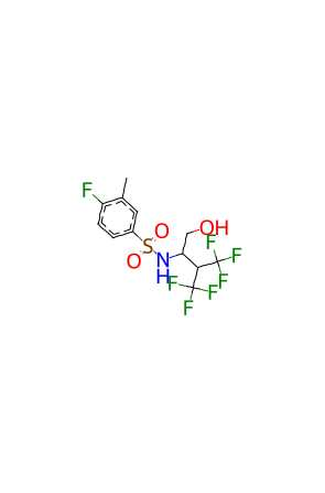 Cc1cc(S(=O)(=O)NC(CO)C(C(F)(F)F)C(F)(F)F)ccc1F